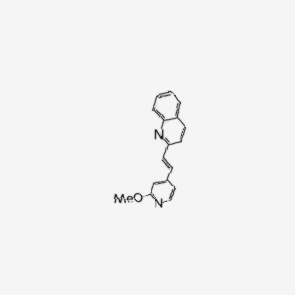 COc1cc(/C=C/c2ccc3ccccc3n2)ccn1